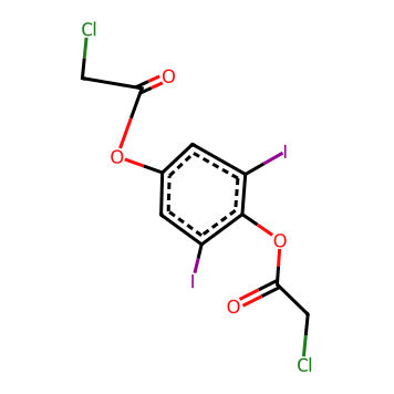 O=C(CCl)Oc1cc(I)c(OC(=O)CCl)c(I)c1